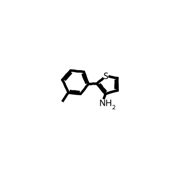 Cc1cccc(-c2sccc2N)c1